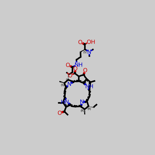 CC[C@H]1c2cc3[nH]c4c(c3C)C(=O)C(C(=O)OC)c4c3nc(cc4[nH]c(cc(n2)[C@@H]1C)c(C(C)=O)c4C)[C@@H](C)[C@@H]3CCC(=O)NCCC[C@@H](C(=O)O)N(C)C